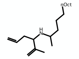 C=CCC(NC(C)CCCCCCCCCCC)C(=C)C